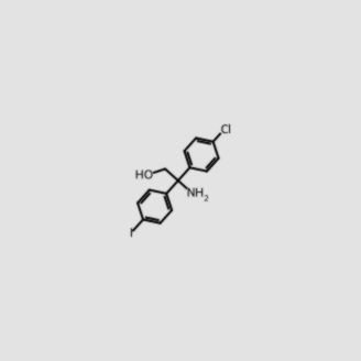 NC(CO)(c1ccc(Cl)cc1)c1ccc(I)cc1